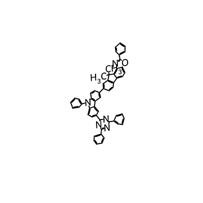 CC1(C)c2cc(-c3ccc4c(c3)c3cc(-c5nc(-c6ccccc6)nc(-c6ccccc6)n5)ccc3n4-c3ccccc3)ccc2-c2ccc3oc(-c4ccccc4)nc3c21